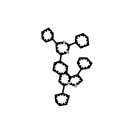 c1ccc(-c2cc(-c3ccc4cc(-c5ccccc5)n5ncc(-c6ccccc6)c5c4c3)nc(-c3ccccc3)n2)cc1